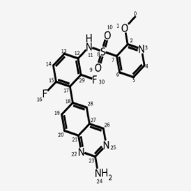 COc1ncccc1S(=O)(=O)Nc1ccc(F)c(-c2ccc3nc(N)ncc3c2)c1F